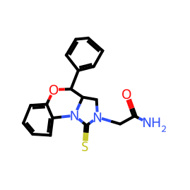 NC(=O)CN1CC2C(c3ccccc3)Oc3ccccc3N2C1=S